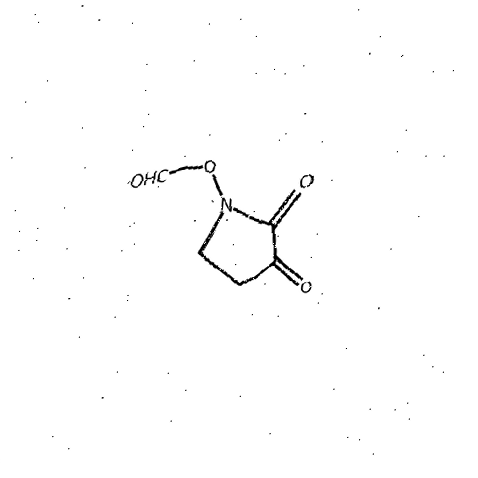 O=[C]ON1CCC(=O)C1=O